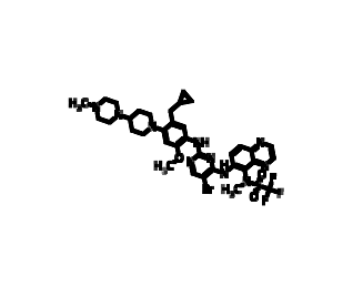 COc1cc(N2CCC(N3CCN(C)CC3)CC2)c(CC2CC2)cc1Nc1ncc(Br)c(Nc2ccc3nccnc3c2N(C)S(=O)(=O)C(F)(F)F)n1